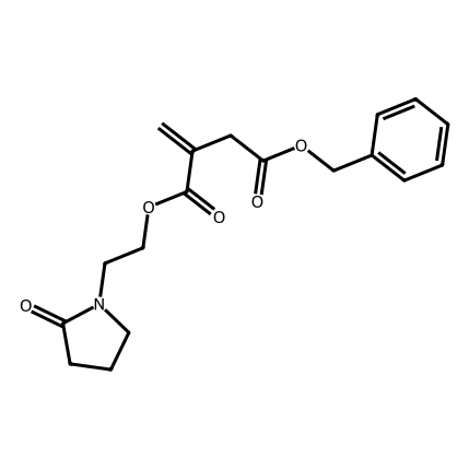 C=C(CC(=O)OCc1ccccc1)C(=O)OCCN1CCCC1=O